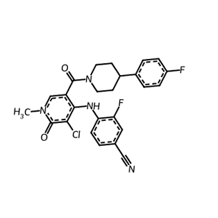 Cn1cc(C(=O)N2CCC(c3ccc(F)cc3)CC2)c(Nc2ccc(C#N)cc2F)c(Cl)c1=O